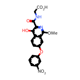 COc1nc(C(=O)NCC(=O)O)c(O)c2ccc(Oc3cccc([N+](=O)[O-])c3)cc12